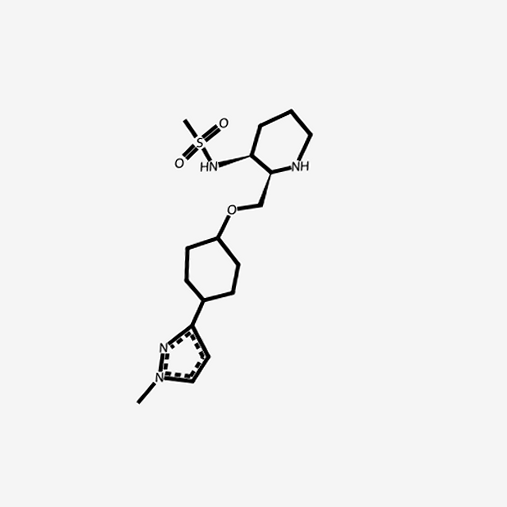 Cn1ccc(C2CCC(OC[C@@H]3NCCC[C@@H]3NS(C)(=O)=O)CC2)n1